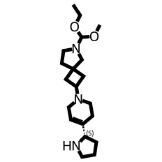 CCOC(OC)N1CCC2(CC(N3CC=C([C@@H]4CCCN4)CC3)C2)C1